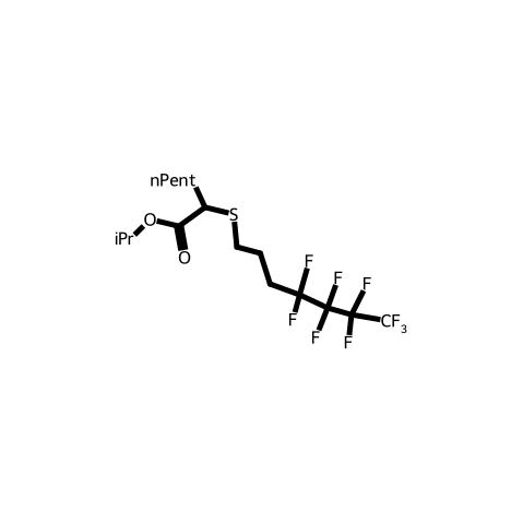 CCCCCC(SCCCC(F)(F)C(F)(F)C(F)(F)C(F)(F)F)C(=O)OC(C)C